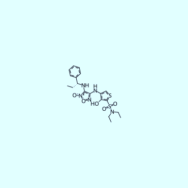 CC[C@@H](Nc1c(Nc2csc(S(=O)(=O)N(CC)CC)c2O)no[n+]1[O-])c1ccccc1